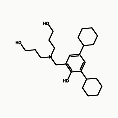 OCCCN(CCCO)Cc1cc(C2CCCCC2)cc(C2CCCCC2)c1O